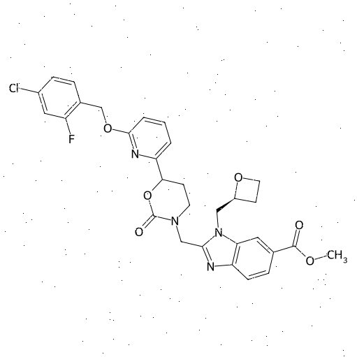 COC(=O)c1ccc2nc(CN3CCC(c4cccc(OCc5ccc(Cl)cc5F)n4)OC3=O)n(C[C@@H]3CCO3)c2c1